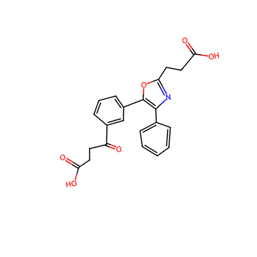 O=C(O)CCC(=O)c1cccc(-c2oc(CCC(=O)O)nc2-c2ccccc2)c1